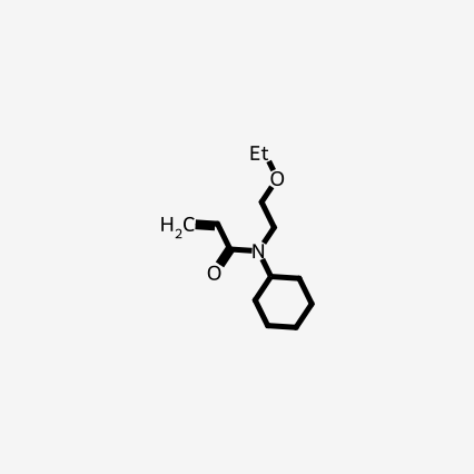 C=CC(=O)N(CCOCC)C1CCCCC1